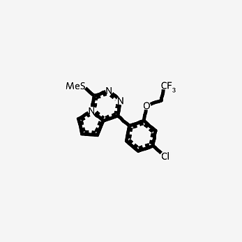 CSc1nnc(-c2ccc(Cl)cc2OCC(F)(F)F)c2cccn12